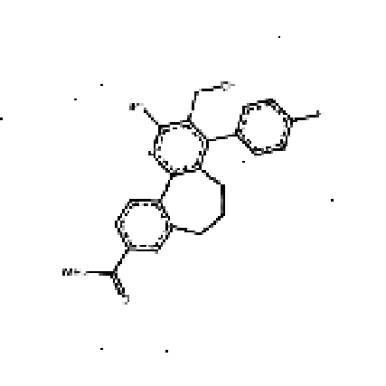 COC(=O)c1ccc2c(c1)CCCc1c-2nc(C(C)C)c(CO)c1-c1ccc(F)cc1